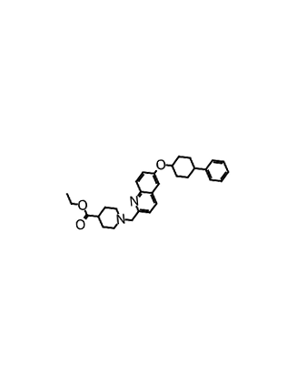 CCOC(=O)C1CCN(Cc2ccc3cc(OC4CCC(c5ccccc5)CC4)ccc3n2)CC1